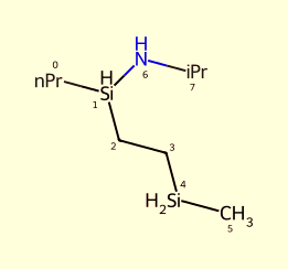 CCC[SiH](CC[SiH2]C)NC(C)C